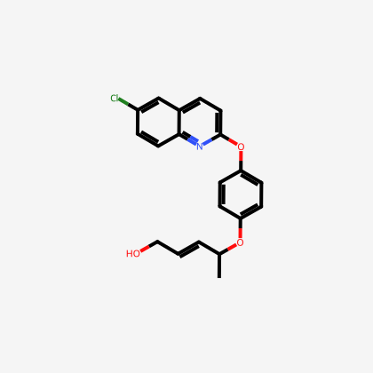 CC(C=CCO)Oc1ccc(Oc2ccc3cc(Cl)ccc3n2)cc1